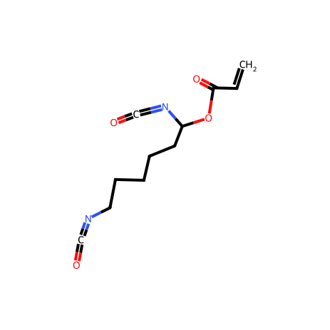 C=CC(=O)OC(CCCCCN=C=O)N=C=O